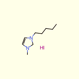 CCCCCN1C=CN(C)C1.I